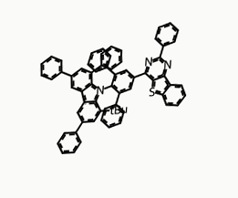 CC(C)(C)c1cc(-c2ccccc2)cc2c3cc(-c4ccccc4)cc(-c4ccccc4)c3n(-c3c(-c4ccccc4)cc(-c4nc(-c5ccccc5)nc5c4sc4ccccc45)cc3-c3ccccc3)c12